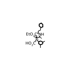 CCOC(=O)C(CCc1ccccc1)N[C@@H](C)C(=O)N(CC(=O)O)c1cc(C)cc(C)c1